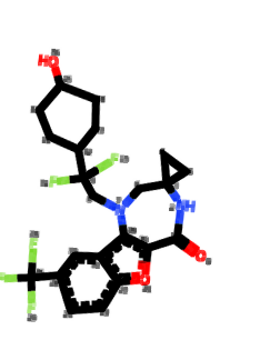 O=C1NC2(CC2)CN(CC(F)(F)C2CCC(O)CC2)c2c1oc1ccc(C(F)(F)F)cc21